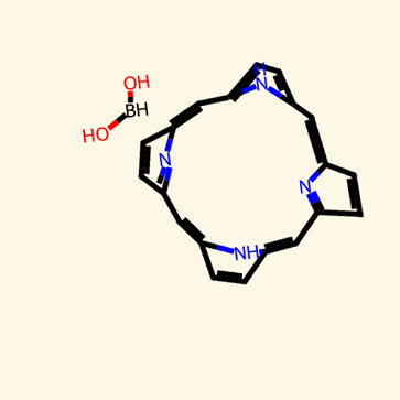 C1=Cc2cc3ccc(cc4nc(cc5ccc(cc1n2)[nH]5)C=C4)[nH]3.OBO